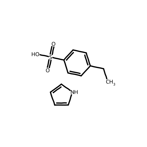 CCc1ccc(S(=O)(=O)O)cc1.c1cc[nH]c1